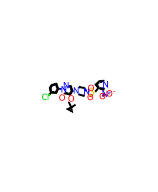 CC1(COc2c(N3CCN(S(=O)(=O)Cc4cccnc4[N+](=O)[O-])CC3)cnn(-c3cccc(Cl)c3)c2=O)CC1